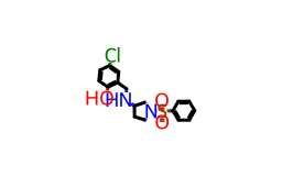 O=S(=O)(c1ccccc1)N1CCC(NCc2cc(Cl)ccc2O)C1